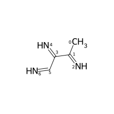 CC(=N)C(=N)C=N